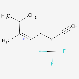 C#CC(C/C=C(/C)C(C)C)C(F)(F)F